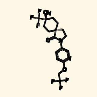 O=C1N(c2ccc(OCC(F)(F)F)nc2)CC[C@]12CC[C@@](O)(C(F)(F)F)CC2